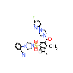 Cc1cc(C)c(S(=O)(=O)N2CCN(c3ccccc3C#N)CC2)cc1C(=O)N1CCN(c2ccc(F)cn2)CC1